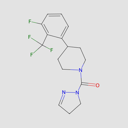 O=C(N1CCC(c2cccc(F)c2C(F)(F)F)CC1)N1CCC=N1